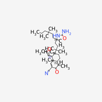 CCCC(C)(C)CC[C@@](C)(CCC(C)(C)[C@]1(C)CC[C@H]2[C@H](C)C(=O)C(C#N)=C[C@]2(C)/C1=C/C(C)=O)NC(N)=O